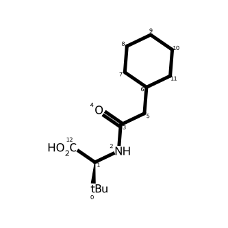 CC(C)(C)[C@H](NC(=O)CC1CCCCC1)C(=O)O